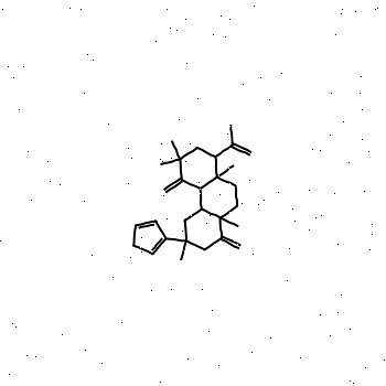 C=C(C)C1CC(C)(C)C(=C)C2C3CC(C)(C4=CCC=C4)CC(=C)C3(C)CCC12C